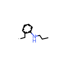 [CH2]Cc1ccccc1NCCC